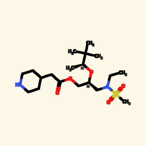 CCN(C[C@@H](COC(=O)CC1CCNCC1)O[C@@H](C)C(C)(C)C)S(C)(=O)=O